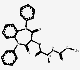 C[C@H](NC(=O)OC(C)(C)C)C(=O)NC1C(=O)N(c2ccccc2)c2ccccc2N(c2ccccc2)C1=O